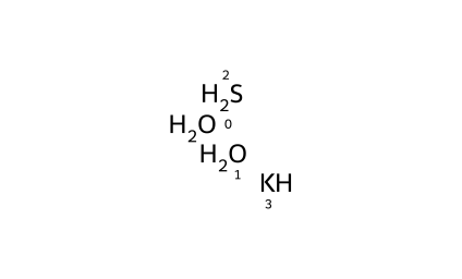 O.O.S.[KH]